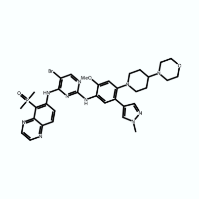 COc1cc(N2CCC(N3CCOCC3)CC2)c(-c2cnn(C)c2)cc1Nc1ncc(Br)c(Nc2ccc3nccnc3c2P(C)(C)=O)n1